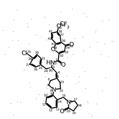 O=C(N[C@@H](C=C1CCN(c2ccccc2CN2CCCC2=O)CC1)Cc1ccc(Cl)cc1)c1cc(=O)c2cc(OC(F)(F)F)ccc2o1